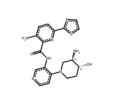 Nc1ccc(-c2nccs2)nc1C(=O)Nc1cnccc1N1CC[C@@H](O)[C@H](N)C1